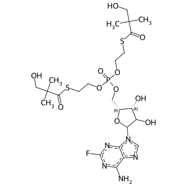 CC(C)(CO)C(=O)SCCOP(=O)(OCCSC(=O)C(C)(C)CO)OC[C@H]1OC(n2cnc3c(N)nc(F)nc32)C(O)[C@H]1O